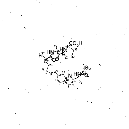 CC(/C=C/c1ccc2ccc([C@@H](C)N[S+]([O-])C(C)(C)C)nc2c1)CO[C@H](C(=O)N[C@@H](C)C(=O)N1CCC[C@@H](C(=O)O)N1)C(C)C